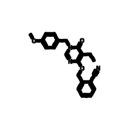 CCc1c(OCc2ccccc2C#N)ncn(Cc2ccc(OC)cc2)c1=O